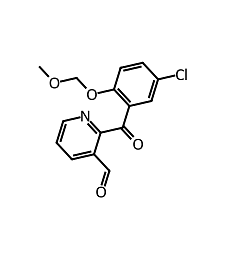 COCOc1ccc(Cl)cc1C(=O)c1ncccc1C=O